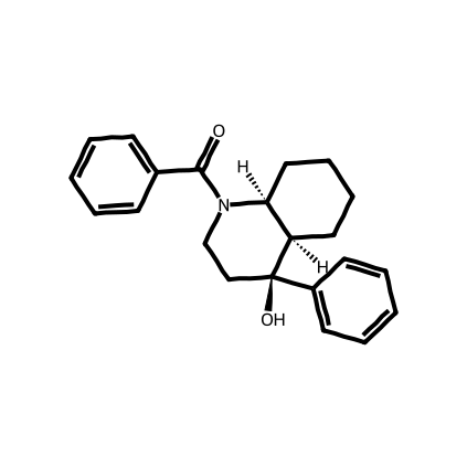 O=C(c1ccccc1)N1CC[C@@](O)(c2ccccc2)[C@@H]2CCCC[C@@H]21